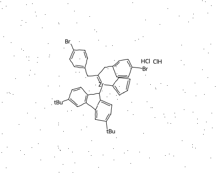 CC(C)(C)c1ccc2c(c1)-c1cc(C(C)(C)C)ccc1[CH]2[Zr]([C]1=CC=CC1)=[C](Cc1ccc(Br)cc1)Cc1ccc(Br)cc1.Cl.Cl